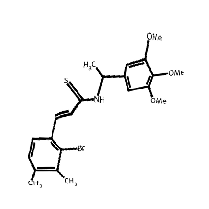 COc1cc(C(C)NC(=S)/C=C/c2ccc(C)c(C)c2Br)cc(OC)c1OC